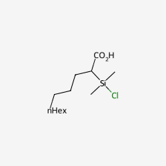 CCCCCCCCCC(C(=O)O)[Si](C)(C)Cl